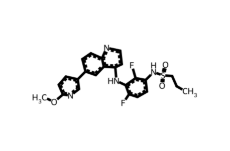 CCCS(=O)(=O)Nc1ccc(F)c(Nc2ccnc3ccc(-c4ccc(OC)nc4)cc23)c1F